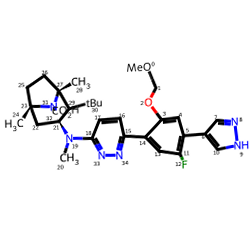 COCOc1cc(-c2cn[nH]c2)c(F)cc1-c1ccc(N(C)[C@H]2C[C@]3(C)CC[C@](C)(C2C(C)(C)C)N3C(=O)O)nn1